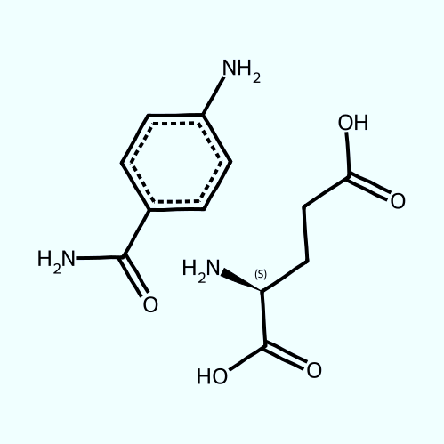 NC(=O)c1ccc(N)cc1.N[C@@H](CCC(=O)O)C(=O)O